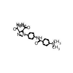 CNC(=O)c1ncn(-c2ccc(NC(=O)c3ccc(N(C)C)cc3)cc2)c1C(N)=O